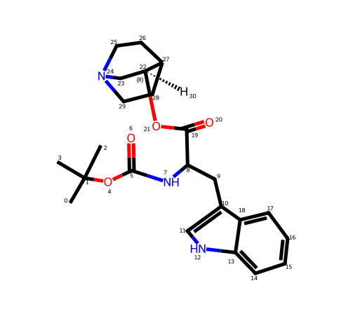 CC(C)(C)OC(=O)NC(Cc1c[nH]c2ccccc12)C(=O)O[C@H]1CN2CCC1CC2